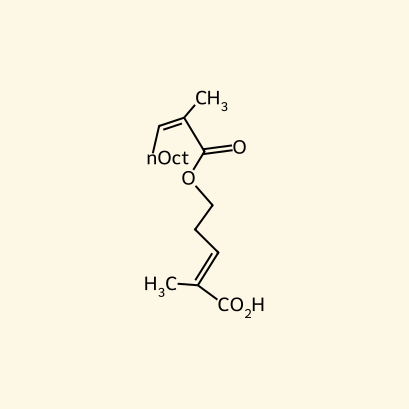 CCCCCCCCC=C(C)C(=O)OCCC=C(C)C(=O)O